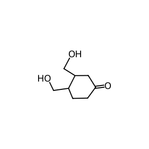 O=C1CCC(CO)C(CO)C1